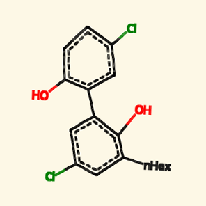 CCCCCCc1cc(Cl)cc(-c2cc(Cl)ccc2O)c1O